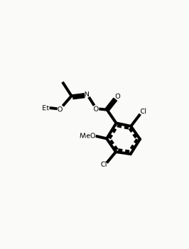 CCOC(C)=NOC(=O)c1c(Cl)ccc(Cl)c1OC